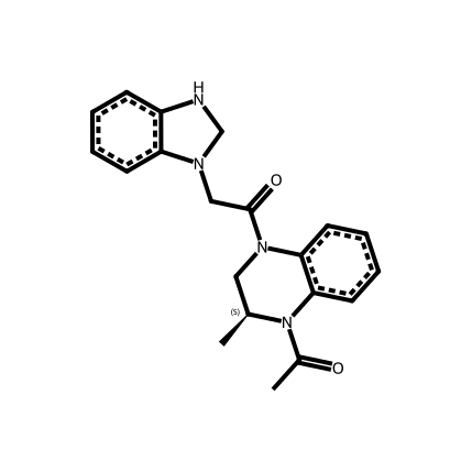 CC(=O)N1c2ccccc2N(C(=O)CN2CNc3ccccc32)C[C@@H]1C